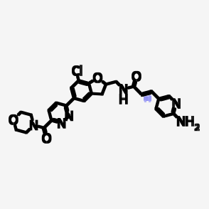 Nc1ccc(/C=C/C(=O)NCC2Cc3cc(-c4ccc(C(=O)N5CCOCC5)nn4)cc(Cl)c3O2)cn1